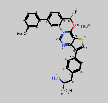 COc1cccc(-c2ccc([C@@H](Oc3ncnc4c(-c5ccc(C[C@H](N)C(=O)O)cc5)csc34)C(F)(F)F)cc2)c1.Cl